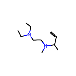 C=C[C](C)N(C)CCN(CC)CC